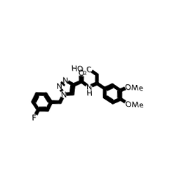 COc1ccc(C(CC(=O)O)NC(=O)c2cn(Cc3cccc(F)c3)nn2)cc1OC